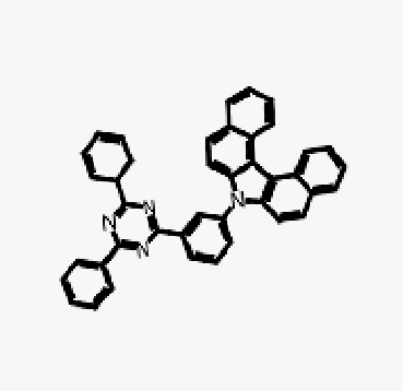 C1=CCC(c2nc(-c3ccccc3)nc(-c3cccc(-n4c5ccc6ccccc6c5c5c6ccccc6ccc54)c3)n2)C=C1